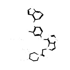 Cl.Cl.N[C@@H]1CN(C(=O)Cn2ccc3ncnc(Nc4ccc(Oc5cccc6sccc56)c(Cl)c4)c32)CC[C@H]1O